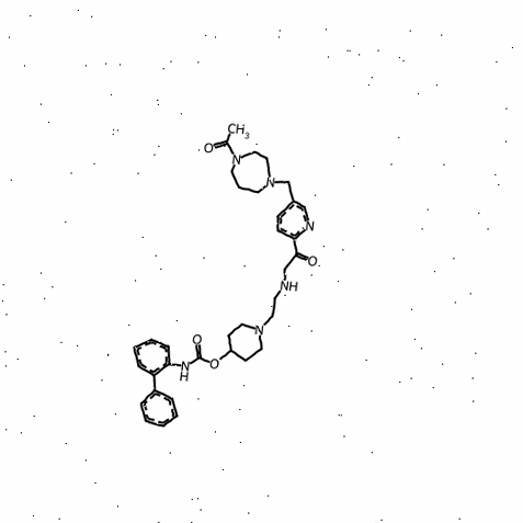 CC(=O)N1CCCN(Cc2ccc(C(=O)CNCCN3CCC(OC(=O)Nc4ccccc4-c4ccccc4)CC3)nc2)CC1